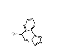 CC(C)c1ncccc1-c1nnco1